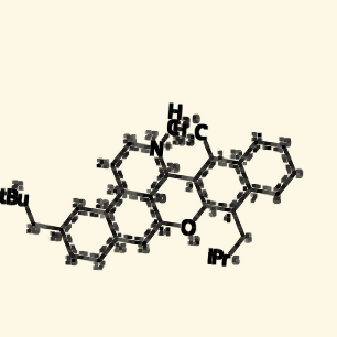 Cc1c2c(c(CC(C)C)c3ccccc13)Oc1cc3ccc(CC(C)(C)C)cc3c3cc[n+](C)c-2c13